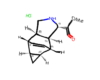 COC(=O)[C@H]1NC[C@@H]2[C@@H]3C=C[C@@H]([C@H]4C[C@@H]34)[C@@H]21.Cl